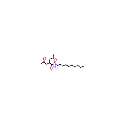 CCCCCCCCCCNC(=O)C(CC(C)=O)CC(C)=O